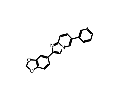 [c]1cccc(-c2ccc3nc(-c4ccc5c(c4)OCO5)cn3c2)c1